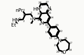 CCCC(CNCC)CN(C)C1=NC(c2ccc(N3CCCOCC3)cc2)=CC2=NC=CNC21